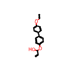 C=COc1ccc(-c2ccc(OC(O)C=C)cc2)cc1